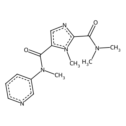 CN(C)C(=O)c1ncc(C(=O)N(C)c2cccnc2)n1C